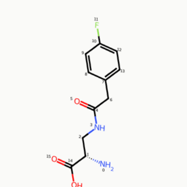 N[C@@H](CNC(=O)Cc1ccc(F)cc1)C(=O)O